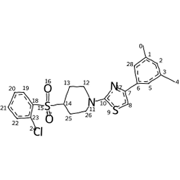 Cc1cc(C)cc(-c2csc(N3CCC(S(=O)(=O)c4ccccc4Cl)CC3)n2)c1